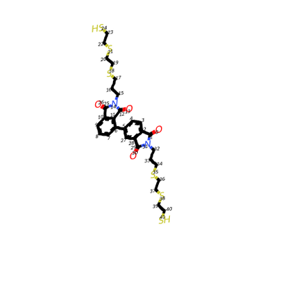 O=C1c2ccc(-c3cccc4c3C(=O)N(CCCSCCSCCS)C4=O)cc2C(=O)N1CCCSCCSCCS